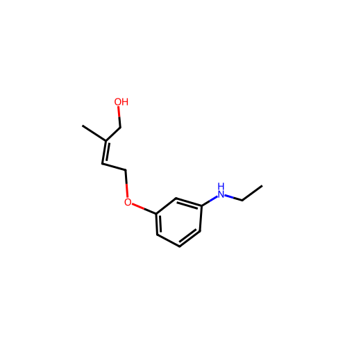 CCNc1cccc(OCC=C(C)CO)c1